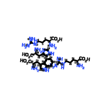 N=C(N)NCCC[C@H](N)C(=O)O.N=C(N)NCCC[C@H](N)C(=O)O.N[C@@H](Cc1c[nH]c2ccccc12)C(=O)O.N[C@@H](Cc1c[nH]cn1)C(=O)O